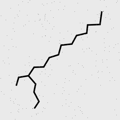 [CH2]CCCCCCCCCCC(CC)CCC[CH2]